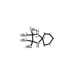 CCCCC1(CCCC)NC2(CCCCC2)NC1(CCCC)CCCC